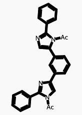 CC(=O)n1cc(-c2cccc(-c3cnc(-c4ccccc4)n3C(C)=O)c2)nc1-c1ccccc1